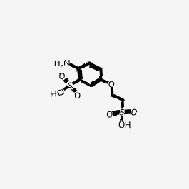 Nc1ccc(OCCS(=O)(=O)O)cc1S(=O)(=O)O